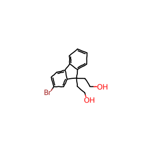 OCCC1(CCO)c2ccccc2-c2ccc(Br)cc21